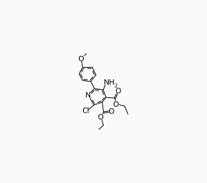 CCOC(=O)c1c(Cl)nc(-c2ccc(OC)cc2)c(N)c1C(=O)OCC